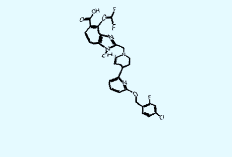 Cn1c(CN2CCC(c3cccc(OCc4ccc(Cl)cc4F)n3)CC2)nc2c(OC(F)F)c(C(=O)O)ccc21